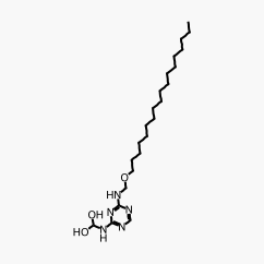 CCCCCCCCCCCCCCCCCCOCNc1ncnc(NC(O)O)n1